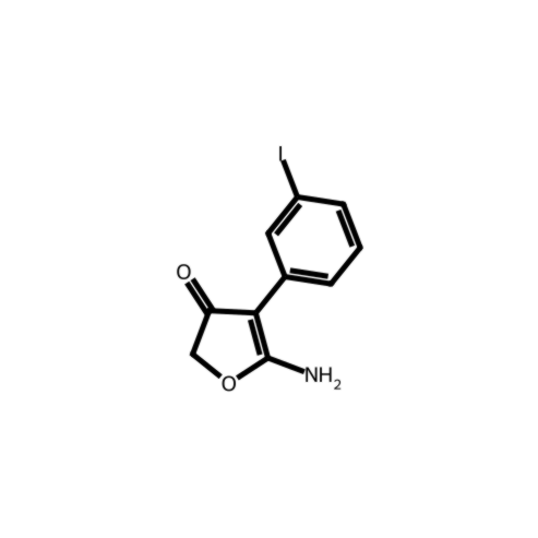 NC1=C(c2cccc(I)c2)C(=O)CO1